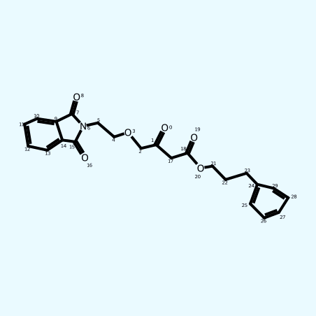 O=C(COCCN1C(=O)c2ccccc2C1=O)CC(=O)OCCCc1ccccc1